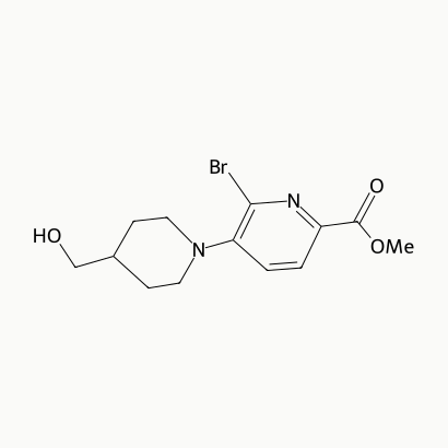 COC(=O)c1ccc(N2CCC(CO)CC2)c(Br)n1